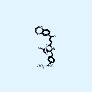 CCc1csc(C(Cc2[c]cc(NS(=O)(=O)O)cc2)NC(=O)CCC(=O)c2ccc3c(c2)OCCCO3)n1